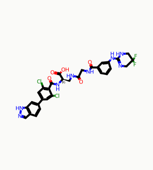 O=C(CNC(=O)c1cccc(NC2=NCC(F)(F)CN2)c1)NC[C@@H](NC(=O)c1c(Cl)cc(-c2ccc3cn[nH]c3c2)cc1Cl)C(=O)O